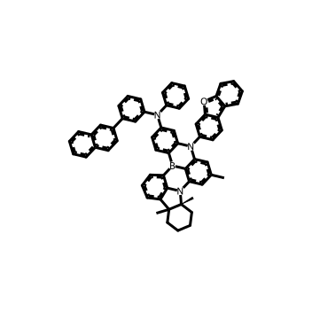 Cc1cc2c3c(c1)N1c4c(cccc4C4(C)CCCC[C@@]14C)B3c1ccc(N(c3ccccc3)c3cccc(-c4ccc5ccccc5c4)c3)cc1N2c1ccc2c(c1)oc1ccccc12